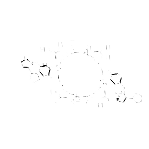 CC(C)C[C@H]1CO[C@H](C)CN(C)[C@@H](CC(C)C)CO[C@H](Cc2ccc(Cn3nccc3C3CCCC3)cc2)CN(C)[C@@H](CC(C)C)CO[C@H](C)CN(C)[C@@H](CC(C)C)CO[C@H](Cc2ccc(Cn3nccc3C3CCCC3)cc2)CN1C